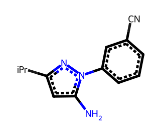 CC(C)c1cc(N)n(-c2cccc(C#N)c2)n1